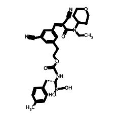 CCN(C(=O)C(C#N)=Cc1cc(C#N)cc(CCOC(=O)N[C@@H](Cc2ccc(C)cc2)B(O)O)c1)C1CCOCC1